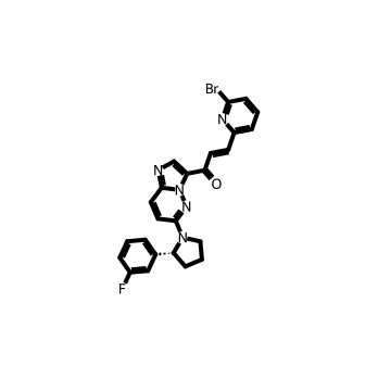 O=C(/C=C/c1cccc(Br)n1)c1cnc2ccc(N3CCC[C@@H]3c3cccc(F)c3)nn12